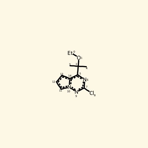 CCOC(C)(C)c1nc(Cl)nn2cccc12